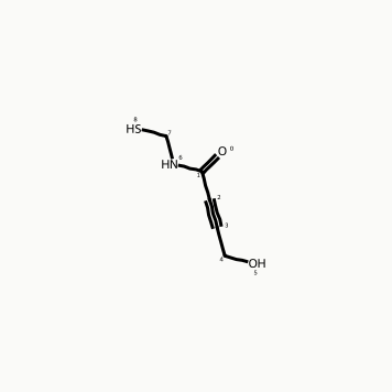 O=C(C#CCO)NCS